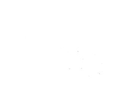 CCCCCCC(O)(c1ccncc1)C(Cl)Cl